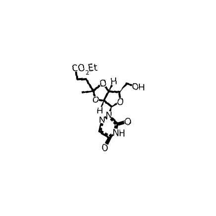 CCOC(=O)CCC1(C)O[C@@H]2[C@H](O1)[C@@H](CO)O[C@H]2n1ncc(=O)[nH]c1=O